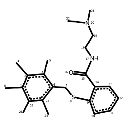 Cc1c(C)c(C)c(CSc2ccccc2C(=O)NCCN(C)C)c(C)c1C